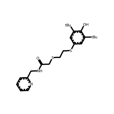 CC(C)(C)c1cc(SCCSCC(=O)NCc2ccccn2)cc(C(C)(C)C)c1O